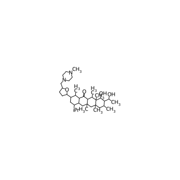 CC(C)C1CC(C2CCC(CN3CCN(C)CC3)O2)C(C)C2C(=O)C3C(C)C4(C)C(O)C(C(C)O)C(C)CC4(C)CC3(C)CC12